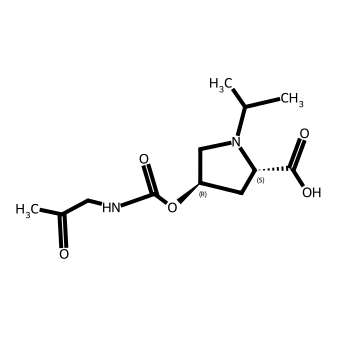 CC(=O)CNC(=O)O[C@@H]1C[C@@H](C(=O)O)N(C(C)C)C1